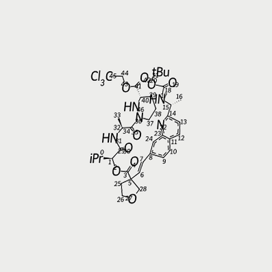 CC(C)[C@H](OC(=O)C1(/C=C/c2ccc3ccc([C@@H](C)NC(=O)OC(C)(C)C)nc3c2)CCOC1)C(=O)N[C@@H](C)C(=O)N1CCC[C@@H](C(=O)OCC(Cl)(Cl)Cl)N1